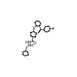 O=C(NNCc1ccccc1)c1ccc2c(c1)C=C(c1ccc(F)cc1)c1ccccc1S2